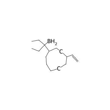 BC(CC)(CC)C1CCCCCC(C=C)CC1